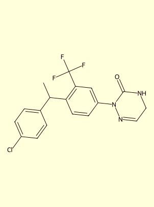 CC(c1ccc(Cl)cc1)c1ccc(N2N=CCNC2=O)cc1C(F)(F)F